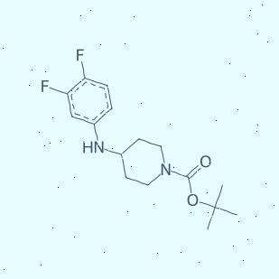 CC(C)(C)OC(=O)N1CCC(Nc2ccc(F)c(F)c2)CC1